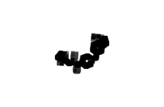 O=C(NCc1nccs1)C1CCN(Cc2ccc3[nH]ccc3c2)CC1